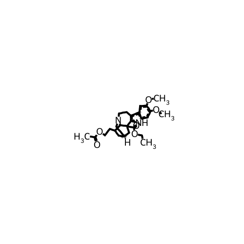 CCOC(=O)C12C[C@H]3CC(CCOC(C)=O)C1N(CCc1c2[nH]c2cc(OC)c(OC)cc12)C3